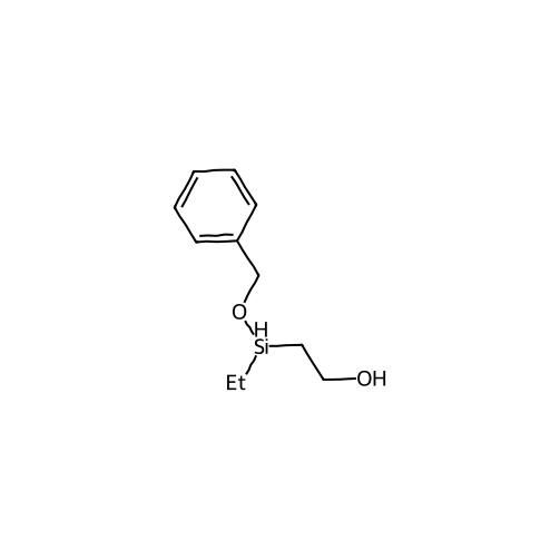 CC[SiH](CCO)OCc1ccccc1